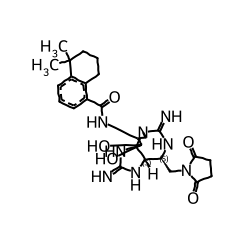 CC1(C)CCCc2c(C(=O)NC3CN4C(=N)N[C@@H](CN5C(=O)CCC5=O)[C@@H]5NC(=N)NC54C3(O)O)cccc21